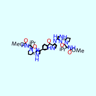 COC(=O)N[C@H](C(=O)N1CCC[C@H]1c1nc(Nc2cc[nH]c2C(=O)c2ccc(-c3c[nH]c([C@@H]4CCCN4C(=O)[C@@H](NC(=O)OC)C(C)C)n3)cc2)c[nH]1)C(C)C